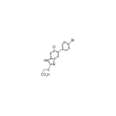 O=C(O)CSc1nc2cc(-c3ccc(Br)cc3)c(Cl)cc2[nH]1